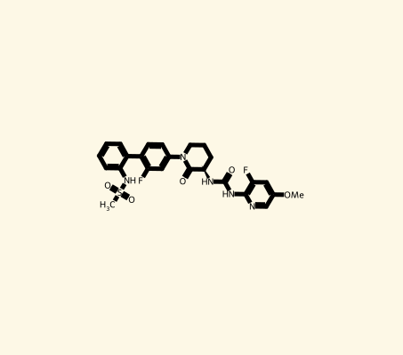 COc1cnc(NC(=O)N[C@@H]2CCCN(c3ccc(-c4ccccc4NS(C)(=O)=O)c(F)c3)C2=O)c(F)c1